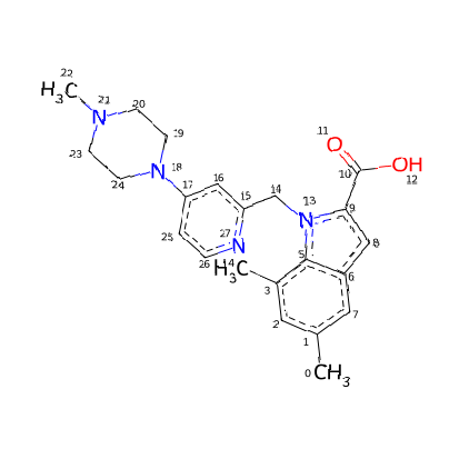 Cc1cc(C)c2c(c1)cc(C(=O)O)n2Cc1cc(N2CCN(C)CC2)ccn1